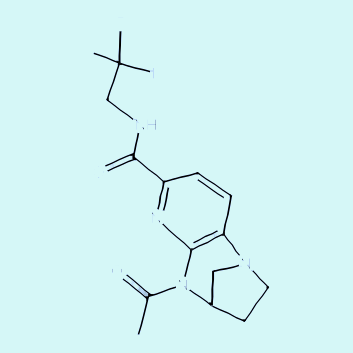 CC(=O)N1c2nc(C(=O)NCC(F)(F)F)ccc2N2CCC1C2